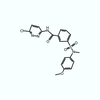 COc1ccc(N(C)S(=O)(=O)c2cccc(C(=O)Nc3ccc(Cl)nn3)c2)cc1